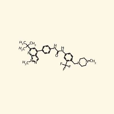 CN1CCN(Cc2ccc(NC(=O)Nc3ccc(-c4cc(C(C)(C)C)nc5c4cnn5C)cc3)cc2C(F)(F)F)CC1